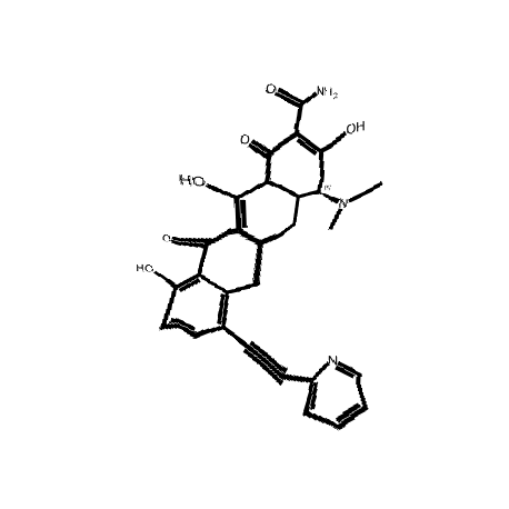 CN(C)[C@@H]1C(O)=C(C(N)=O)C(=O)C2C(O)=C3C(=O)c4c(O)ccc(C#Cc5ccccn5)c4CC3CC21